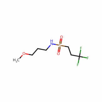 COCCCNS(=O)(=O)CCC(F)(F)F